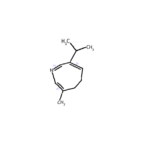 C/C1=C/N=C\C(C(C)C)=C/CC1